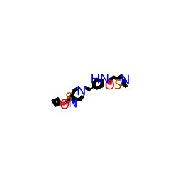 Cc1ncc(CC(=O)N[C@H]2CC[C@H](CCN3CCc4nc(OC5CCC5)sc4CC3)CC2)s1